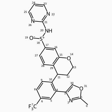 Cc1nc(-c2cc(C(F)(F)F)ccc2C2CCOc3cc([S+]([O-])Nc4ncccn4)ccc32)co1